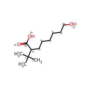 CC(C)(C)C(CCCCCCO)C(=O)O